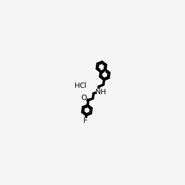 Cl.O=C(CCNCCc1ccc2ccccc2c1)c1ccc(F)cc1